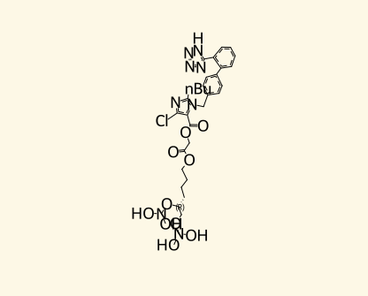 CCCCc1nc(Cl)c(C(=O)OCC(=O)OCCCC[C@H](CON(O)O)ON(O)O)n1Cc1ccc(-c2ccccc2-c2nnn[nH]2)cc1